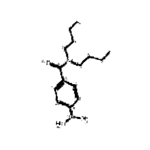 CCCCN(CCCC)C(=O)c1ccc(B(O)O)cc1